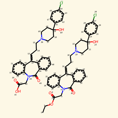 CCOC(=O)CN1C(=O)c2ccccc2C(=CCCN2CCC(O)(c3ccc(Cl)cc3)CC2)c2ccccc21.O=C(O)CN1C(=O)c2ccccc2C(=CCCN2CCC(O)(c3ccc(Cl)cc3)CC2)c2ccccc21